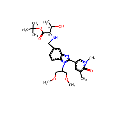 COCC(COC)n1c(-c2cc(C)c(=O)n(C)c2)nc2cc(CN[C@H](C(=O)OC(C)(C)C)[C@@H](C)O)ccc21